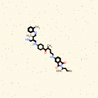 CC(=O)CCC(C=O)N1C(=O)c2ccc(NCCCC(C)C(=O)C3CCC(N/C=C(\C=N)[C@@H](C)/C=N\c4ccccc4C)CC3)cc2C1=O